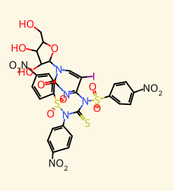 O=c1nc(N(C(=S)N(c2ccc([N+](=O)[O-])cc2)S(=O)(=O)c2ccc([N+](=O)[O-])cc2)S(=O)(=O)c2ccc([N+](=O)[O-])cc2)c(I)cn1C1OC(CO)C(O)C1O